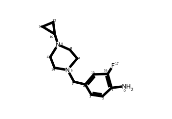 Nc1ccc(CN2CCN(C3CC3)CC2)cc1F